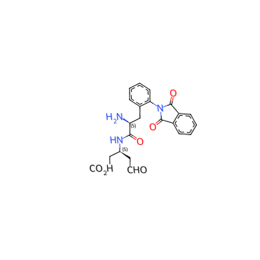 N[C@@H](Cc1ccccc1N1C(=O)c2ccccc2C1=O)C(=O)N[C@@H](CC=O)CC(=O)O